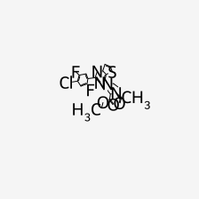 CCOC(=O)C1CN(c2nc(-c3cc(F)c(Cl)cc3F)nc3ccsc23)CCN1C(C)=O